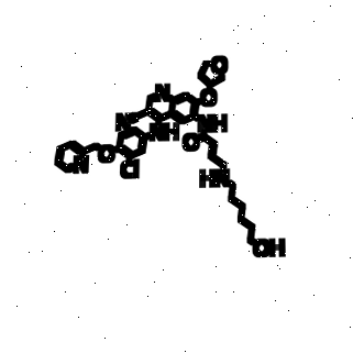 N#Cc1cnc2cc(O[C@H]3CCOC3)c(NC(=O)C=CCNCCCCCCO)cc2c1Nc1ccc(OCc2ccccn2)c(Cl)c1